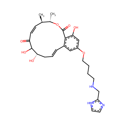 C[C@@H]1/C=C\C(=O)C(O)[C@@H](O)C/C=C/c2cc(OCCCCNCc3ncc[nH]3)cc(O)c2C(=O)O[C@H]1C